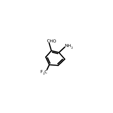 Nc1ccc(C(F)(F)F)cc1C=O